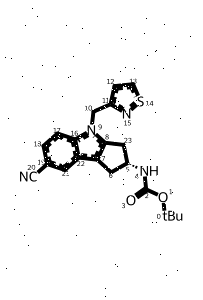 CC(C)(C)OC(=O)N[C@@H]1Cc2c(n(Cc3ccsn3)c3ccc(C#N)cc23)C1